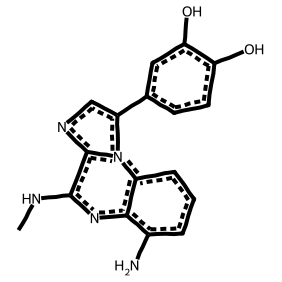 CNc1nc2c(N)cccc2n2c(-c3ccc(O)c(O)c3)cnc12